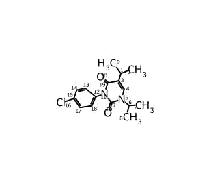 CC(C)c1cn(C(C)C)c(=O)n(-c2ccc(Cl)cc2)c1=O